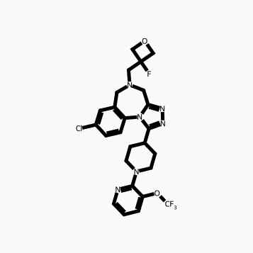 FC1(CN2Cc3cc(Cl)ccc3-n3c(nnc3C3CCN(c4ncccc4OC(F)(F)F)CC3)C2)COC1